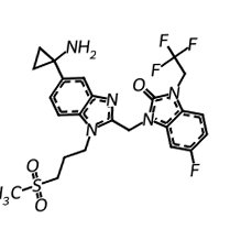 CS(=O)(=O)CCCn1c(Cn2c(=O)n(CC(F)(F)F)c3ccc(F)cc32)nc2cc(C3(N)CC3)ccc21